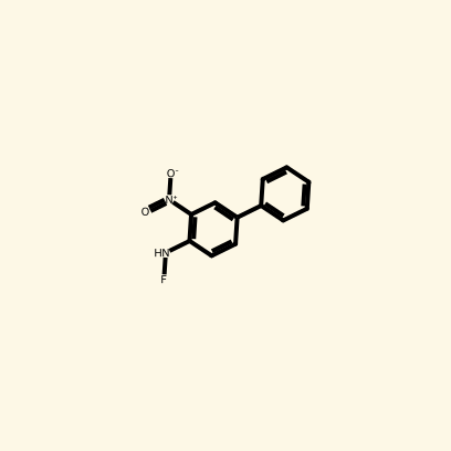 O=[N+]([O-])c1cc(-c2ccccc2)ccc1NF